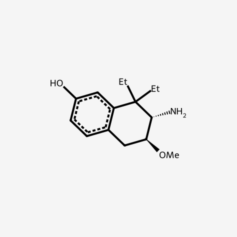 CCC1(CC)c2cc(O)ccc2C[C@H](OC)[C@H]1N